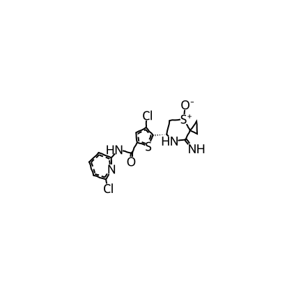 N=C1N[C@H](c2sc(C(=O)Nc3cccc(Cl)n3)cc2Cl)C[S+]([O-])C12CC2